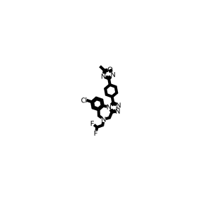 Cc1nc(C2CCC(c3nnc4n3-c3ccc(Cl)cc3CN(CC(F)F)C4)CC2)no1